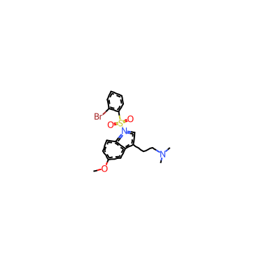 COc1ccc2c(c1)c(CCN(C)C)cn2S(=O)(=O)c1ccccc1Br